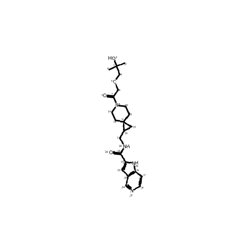 CC(C)(O)COCC(=O)N1CCC2(CC1)CC2CNC(=O)c1cc2cnccc2[nH]1